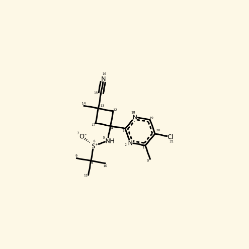 Cc1nc(C2(N[S@@+]([O-])C(C)(C)C)CC(C)(C#N)C2)ncc1Cl